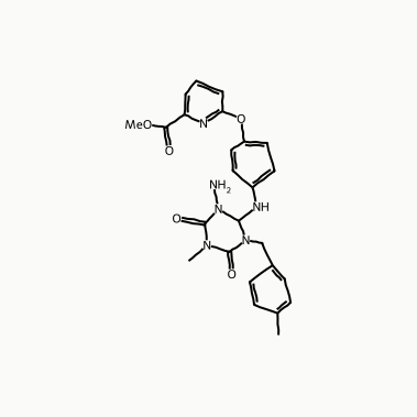 COC(=O)c1cccc(Oc2ccc(NC3N(N)C(=O)N(C)C(=O)N3Cc3ccc(C)cc3)cc2)n1